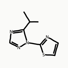 CC(C)c1ncnn1-c1nccs1